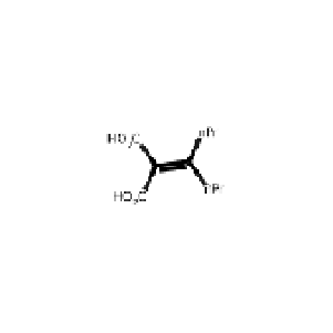 CCCC(CCC)=C(C(=O)O)C(=O)O